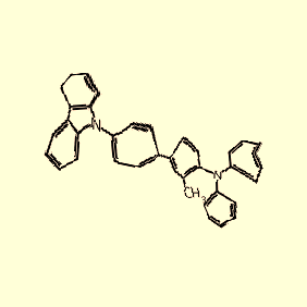 Cc1cc(-c2ccc(-n3c4c(c5ccccc53)CCC=C4)cc2)ccc1N(c1ccccc1)c1ccccc1